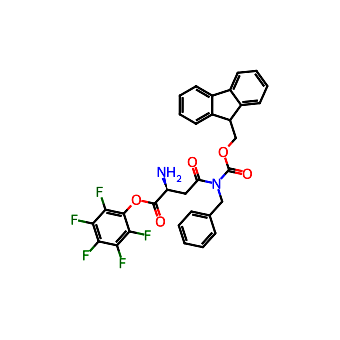 N[C@@H](CC(=O)N(Cc1ccccc1)C(=O)OCC1c2ccccc2-c2ccccc21)C(=O)Oc1c(F)c(F)c(F)c(F)c1F